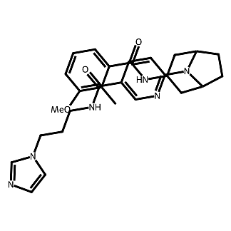 COc1cccc(C(=O)NC2CC3CCC(C2)N3c2ccc(C(=O)NCCCn3ccnc3)cn2)c1C